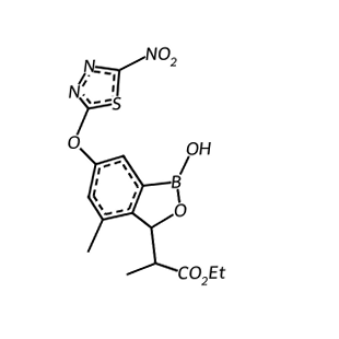 CCOC(=O)C(C)C1OB(O)c2cc(Oc3nnc([N+](=O)[O-])s3)cc(C)c21